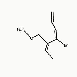 C=C/C=C(Br)\C(=C/C)COP